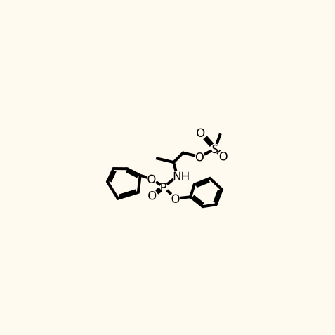 CC(COS(C)(=O)=O)NP(=O)(Oc1ccccc1)Oc1ccccc1